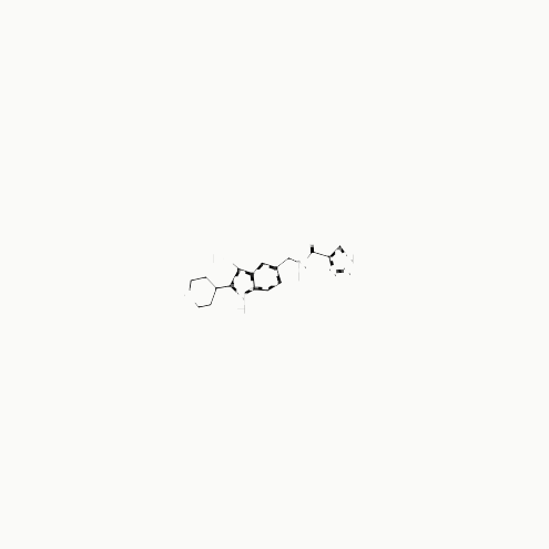 Cc1c(C2CCOCC2)[nH]c2ccc(CNC(=O)c3c[nH]nn3)cc12